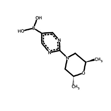 C[C@@H]1CN(c2ncc(B(O)O)cn2)C[C@@H](C)O1